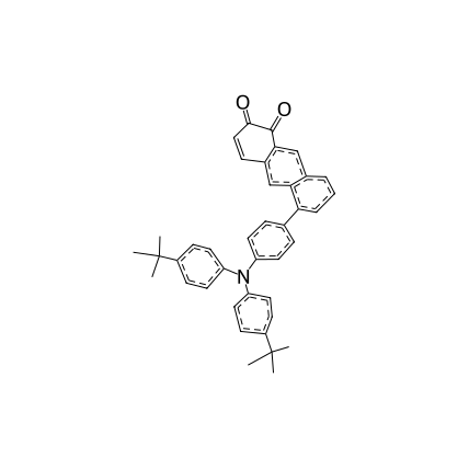 CC(C)(C)c1ccc(N(c2ccc(-c3cccc4cc5c(cc34)C=CC(=O)C5=O)cc2)c2ccc(C(C)(C)C)cc2)cc1